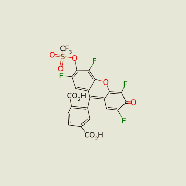 O=C(O)c1ccc(C(=O)O)c(-c2c3cc(F)c(=O)c(F)c-3oc3c(F)c(OS(=O)(=O)C(F)(F)F)c(F)cc23)c1